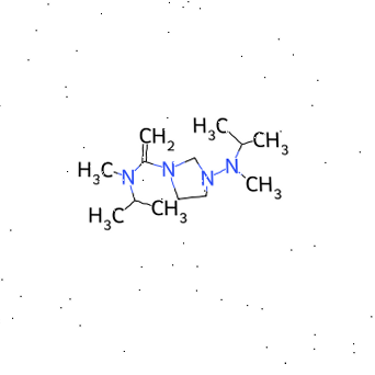 C=C(N1CCN(N(C)C(C)C)C1)N(C)C(C)C